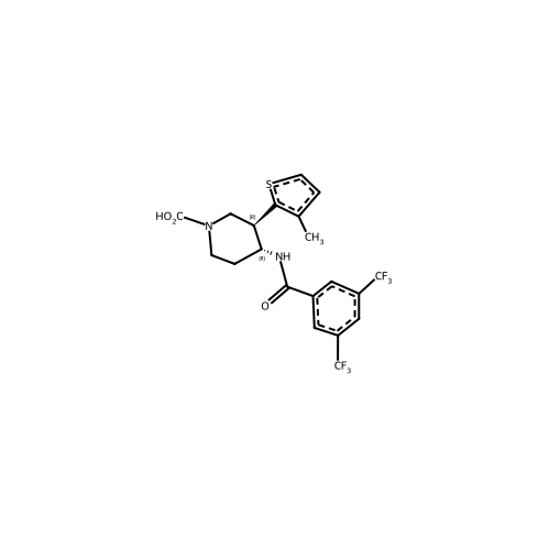 Cc1ccsc1[C@@H]1CN(C(=O)O)CC[C@H]1NC(=O)c1cc(C(F)(F)F)cc(C(F)(F)F)c1